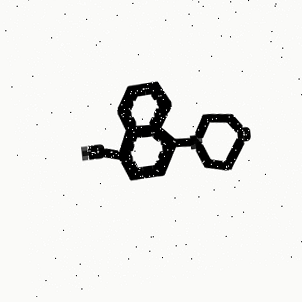 Oc1ccc(N2CCOCC2)c2ccccc12